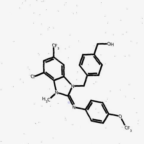 Cn1/c(=N/c2ccc(OC(F)(F)F)cc2)n(Cc2ccc(CO)cc2)c2cc(C(F)(F)F)cc(Cl)c21